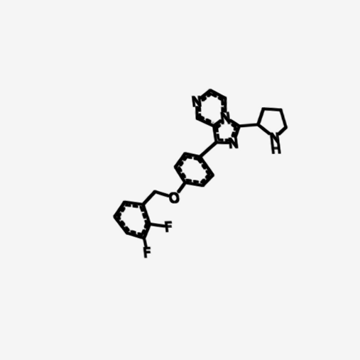 Fc1cccc(COc2ccc(-c3nc(C4CCCN4)n4ccncc34)cc2)c1F